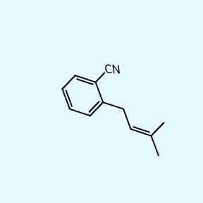 CC(C)=CCc1ccccc1C#N